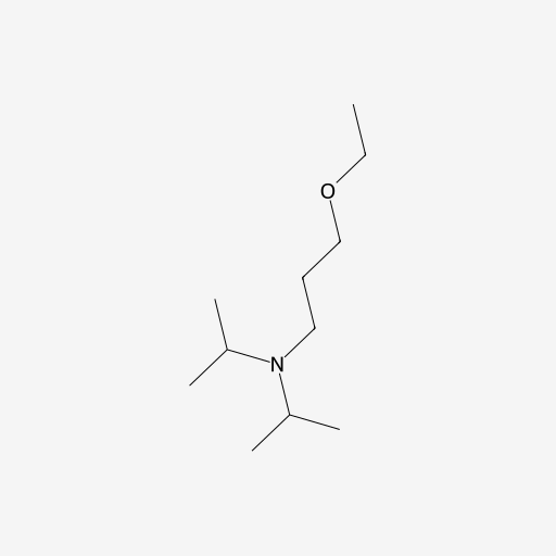 CCOCCCN(C(C)C)C(C)C